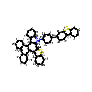 c1ccc2c(c1)sc1cc(-c3ccc(-n4c5ccccc5c5c6c7ccccc7c7ccccc7c6c6c7ccccc7sc6c54)cc3)ccc12